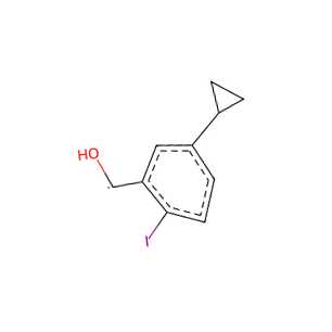 O[CH]c1cc(C2CC2)ccc1I